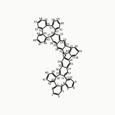 c1ccc2c(c1)-c1ccccc1-c1cc3cc4c5cccc6c7cc8cc9c(cc8cc7n(c4cc3cc1-c1ccccc1-2)c56)-c1ccccc1-c1ccccc1-c1ccccc1-9